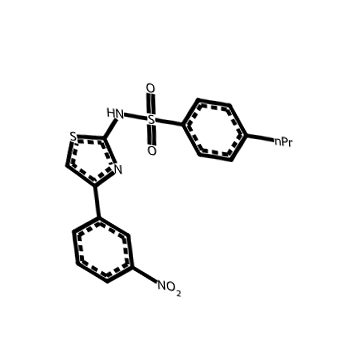 CCCc1ccc(S(=O)(=O)Nc2nc(-c3cccc([N+](=O)[O-])c3)cs2)cc1